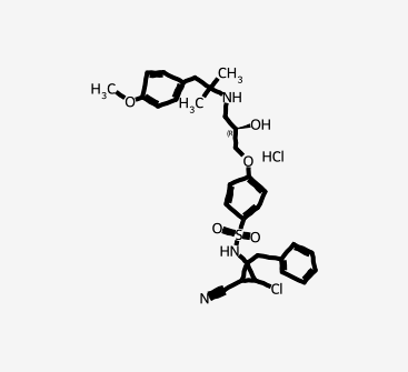 COc1ccc(CC(C)(C)NC[C@@H](O)COc2ccc(S(=O)(=O)NC3(Cc4ccccc4)C(Cl)C3C#N)cc2)cc1.Cl